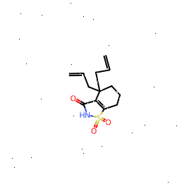 C=CCC1(CC=C)CCCC2=C1C(=O)NS2(=O)=O